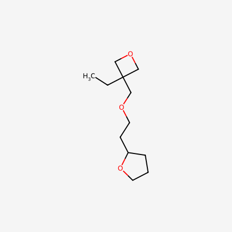 CCC1(COCCC2CCCO2)COC1